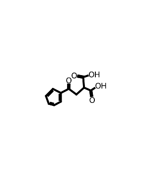 O=C(CC(C(=O)O)C(=O)O)c1ccccc1